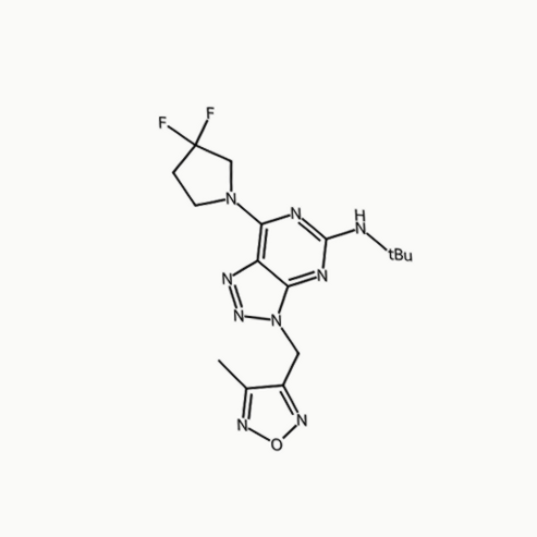 Cc1nonc1Cn1nnc2c(N3CCC(F)(F)C3)nc(NC(C)(C)C)nc21